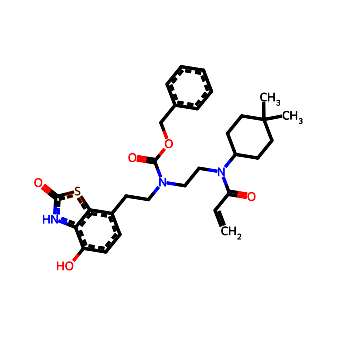 C=CC(=O)N(CCN(CCc1ccc(O)c2[nH]c(=O)sc12)C(=O)OCc1ccccc1)C1CCC(C)(C)CC1